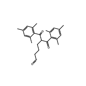 Cc1cc(C)c(C(=O)C(CCCP=O)C(=O)c2c(C)cc(C)cc2C)c(C)c1